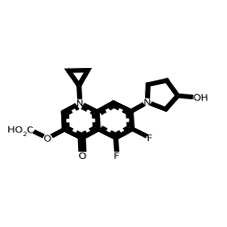 O=C(O)Oc1cn(C2CC2)c2cc(N3CCC(O)C3)c(F)c(F)c2c1=O